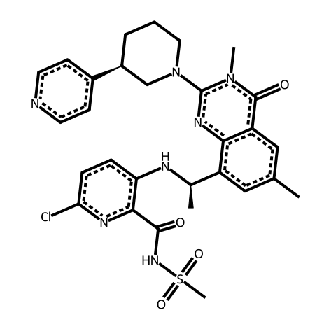 Cc1cc([C@@H](C)Nc2ccc(Cl)nc2C(=O)NS(C)(=O)=O)c2nc(N3CCC[C@H](c4ccncc4)C3)n(C)c(=O)c2c1